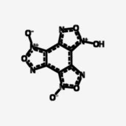 [O-][n+]1onc2c1c1no[n+]([O-])c1c1no[n+](O)c21